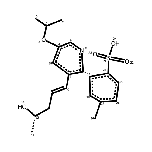 CC(C)Oc1cncc(C=CC[C@H](C)O)c1.Cc1ccc(S(=O)(=O)O)cc1